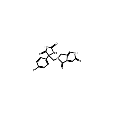 O=C1NC(=O)C(CN2Cc3c[nH]c(=O)cc3C2=O)(c2ccc(F)cc2)N1